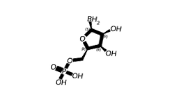 B[C@@H]1O[C@H](COP(=O)(O)O)[C@H](O)[C@@H]1O